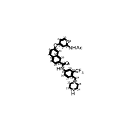 CC(=O)Nc1cc(Oc2ccc3ccc(C(=O)Nc4ccc(CN5CCNCC5)c(C(F)(F)F)c4)cc3c2)ccn1